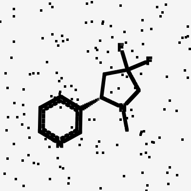 CN1CC(F)(F)C[C@H]1c1cccnc1